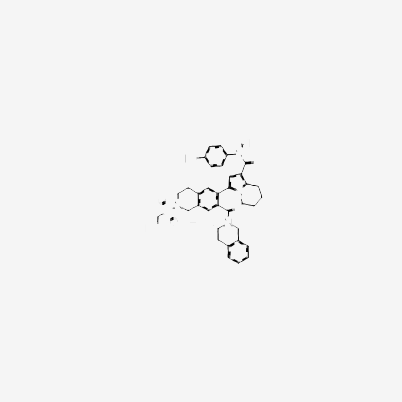 CCS(=O)(=O)N1CCc2cc(-c3cc(C(=O)N(C)c4ccc(O)cc4)c4n3CCCC4)c(C(=O)N3Cc4ccccc4C[C@H]3C)cc2C1